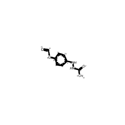 CC(=O)NNc1ccc(OC=O)cc1